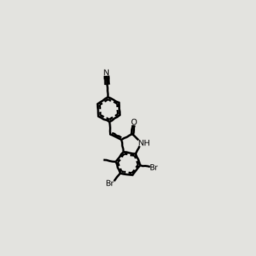 Cc1c(Br)cc(Br)c2c1C(=Cc1ccc(C#N)cc1)C(=O)N2